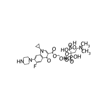 CN(C)CCC(OC(=O)OCOC(=O)c1cn(C2CC2)c2cc(N3CCNCC3)c(F)cc2c1=O)(P(=O)(O)O)P(=O)(O)O